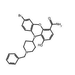 NC(=O)c1ccc(O)c2c1Oc1cc(Br)ccc1N2C1CCN(Cc2ccccc2)CC1